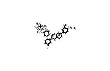 COc1ccc(C23CCC(CN(c4cccc(I)c4)C(=O)[C@H]4CC[C@H](O[Si](C)(C)C(C)(C)C)CC4)(CC2)CC3)cc1C